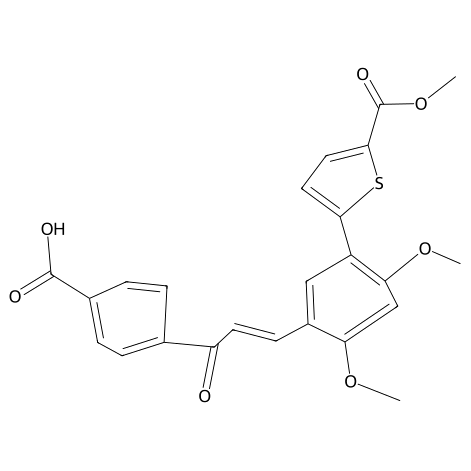 COC(=O)c1ccc(-c2cc(C=CC(=O)c3ccc(C(=O)O)cc3)c(OC)cc2OC)s1